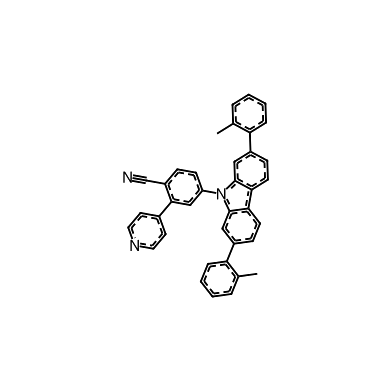 Cc1ccccc1-c1ccc2c3ccc(-c4ccccc4C)cc3n(-c3ccc(C#N)c(-c4ccncc4)c3)c2c1